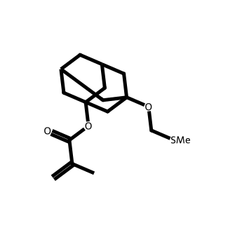 C=C(C)C(=O)OC12CC3CC(CC(OCSC)(C3)C1)C2